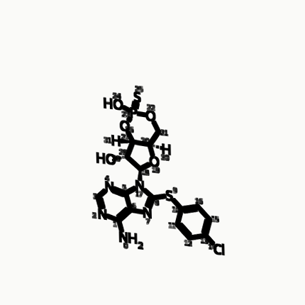 Nc1ncnc2c1nc(Sc1ccc(Cl)cc1)n2[C@@H]1O[C@@H]2COP(O)(=S)O[C@H]2[C@H]1O